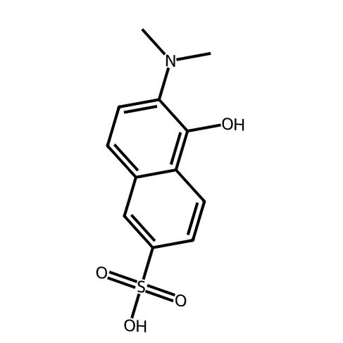 CN(C)c1ccc2cc(S(=O)(=O)O)ccc2c1O